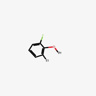 CCc1cccc(F)c1OC(C)C